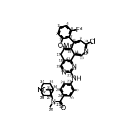 COc1cccc(F)c1C1=CC(Cl)=NC=C2C1=CCc1cnc(Nc3ccc(C(=O)N(C)C4CN5CCC4CC5)cc3)nc12